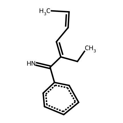 C/C=C\C=C(/CC)C(=N)c1ccccc1